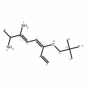 C=C/C(=C\C=C(/N)C(C)N)OCC(C)(C)F